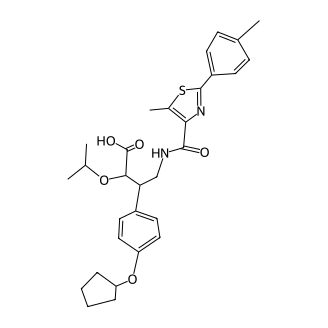 Cc1ccc(-c2nc(C(=O)NCC(c3ccc(OC4CCCC4)cc3)C(OC(C)C)C(=O)O)c(C)s2)cc1